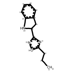 CCCc1nc(C2Cc3ccccc3N2)no1